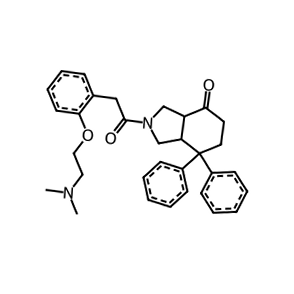 CN(C)CCOc1ccccc1CC(=O)N1CC2C(=O)CCC(c3ccccc3)(c3ccccc3)C2C1